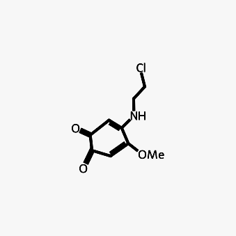 COC1=CC(=O)C(=O)C=C1NCCCl